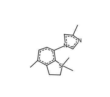 Cc1cn(-c2ccc(C)c3c2[Si](C)(C)CC3)cn1